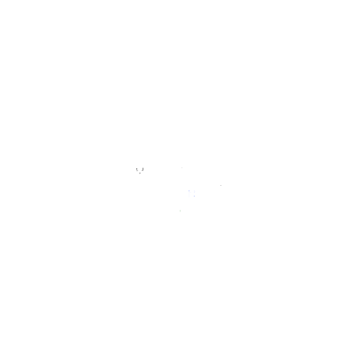 [Cl-].[Mg+][c]1ncco1